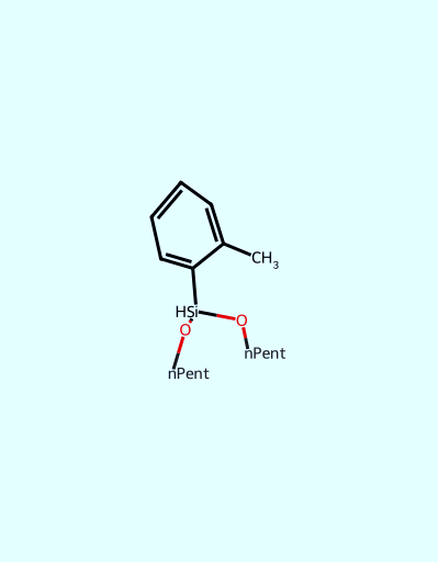 CCCCCO[SiH](OCCCCC)c1ccccc1C